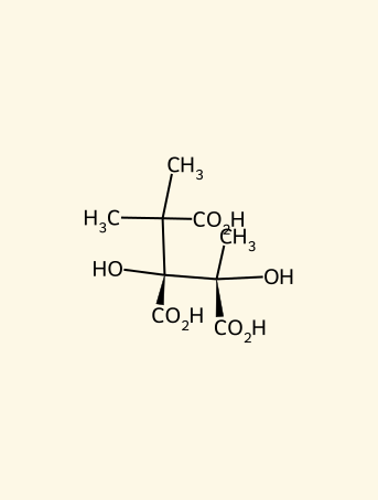 CC(C)(C(=O)O)[C@](O)(C(=O)O)[C@](C)(O)C(=O)O